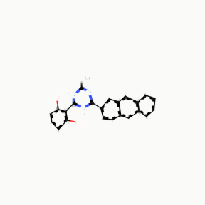 COc1nc(-c2ccc3cc4ccccc4cc3c2)nc(-c2c(O)cccc2O)n1